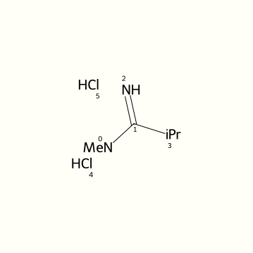 CNC(=N)C(C)C.Cl.Cl